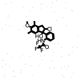 COc1c(C)cc2c(c1C)CC(Cl)C2(O)c1ccccc1NC(=O)C(F)(F)F